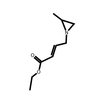 CCOC(=O)C=CCN1CC1C